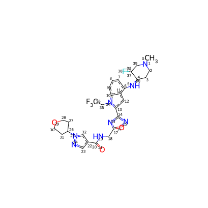 CN1CC[C@@H](Nc2cccc3c2cc(-c2noc(CNC(=O)c4cnn(C5CCOCC5)c4)n2)n3CC(F)(F)F)[C@@H](F)C1